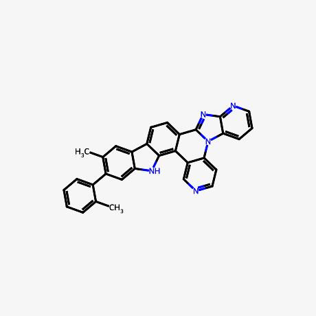 Cc1ccccc1-c1cc2[nH]c3c(ccc4c3c3cnccc3n3c5cccnc5nc43)c2cc1C